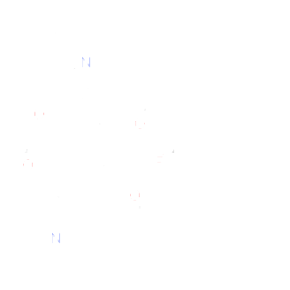 CCCCB1OC(C(=O)N(C)C)C(C(=O)N(C)C)O1